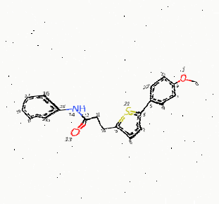 COc1ccc(-c2ccc(CCC(=O)Nc3ccccc3)s2)cc1